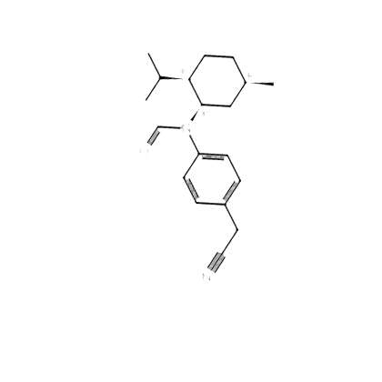 CC(C)[C@H]1CC[C@@H](C)C[C@H]1N(C=O)c1ccc(CC#N)cc1